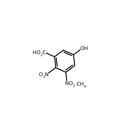 C.O=C(O)c1cc(O)cc([N+](=O)[O-])c1[N+](=O)[O-]